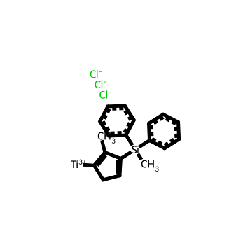 CC1=[C]([Ti+3])CC=C1[Si](C)(c1ccccc1)c1ccccc1.[Cl-].[Cl-].[Cl-]